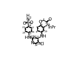 CCCN1C(=O)COc2ccc(Nc3nc(Nc4ccc(S(N)(=O)=O)cc4)ncc3Cl)cc21